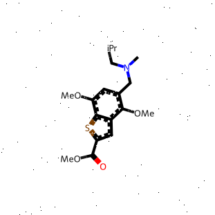 COC(=O)c1cc2c(OC)c(CN(C)CC(C)C)cc(OC)c2s1